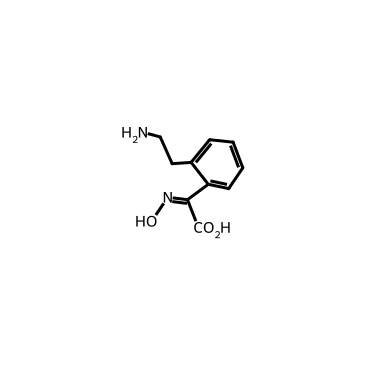 NCCc1ccccc1C(=NO)C(=O)O